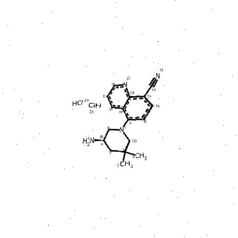 CC1(C)C[C@@H](N)CN(c2ccc(C#N)c3ncccc23)C1.Cl.Cl